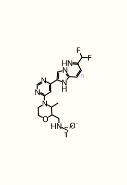 CC1C(CN[S+](C)[O-])OCCN1c1cc(-c2cnc(/C=C\C(=N)C(F)F)[nH]2)ncn1